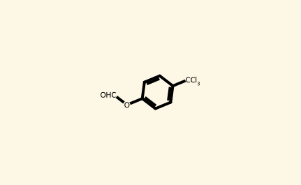 O=COc1ccc(C(Cl)(Cl)Cl)cc1